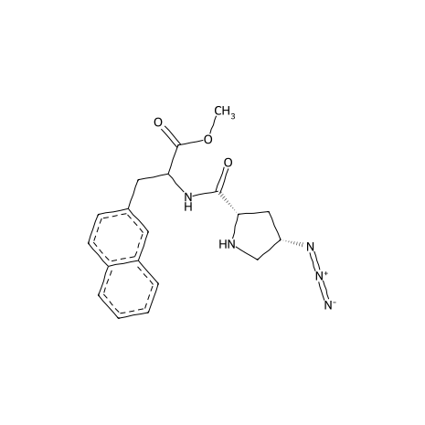 COC(=O)C(Cc1ccc2ccccc2c1)NC(=O)[C@@H]1C[C@H](N=[N+]=[N-])CN1